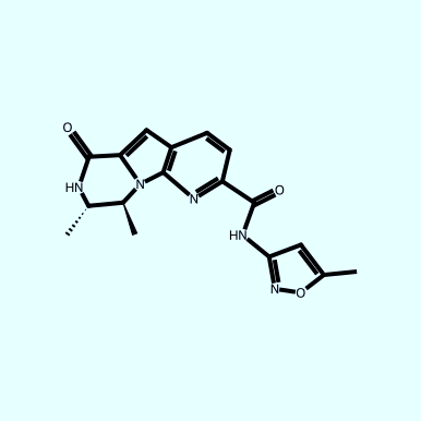 Cc1cc(NC(=O)c2ccc3cc4n(c3n2)[C@@H](C)[C@H](C)NC4=O)no1